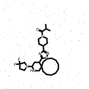 CC(C)C(=O)N1CCC(c2noc(C3CC(N4CCC(F)(F)C4)NCC34CCCCCCCCCC4)n2)CC1